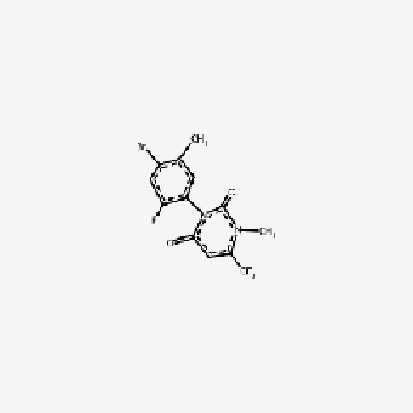 Cc1cc(-n2c(=O)cc(C(F)(F)F)n(C)c2=O)c(F)cc1Br